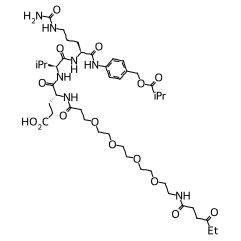 CCC(=O)CCC(=O)NCCOCCOCCOCCOCCC(=O)N[C@H](CCC(=O)O)C(=O)N[C@H](C(=O)N[C@@H](CCCNC(N)=O)C(=O)Nc1ccc(COC(=O)C(C)C)cc1)C(C)C